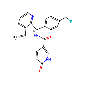 C=Cc1cccnc1[C@@H](NC(=O)c1ccc(=O)[nH]c1)c1ccc(CF)cc1